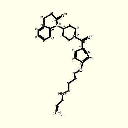 C=CCNCCCCOc1ccc(C(=O)N2CCC(N3C(=O)CCc4ccccc43)CC2)cc1